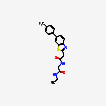 N#CCNC(=O)CNC(=O)Cc1nc2ccc(-c3ccc(C(F)(F)F)cc3)cc2s1